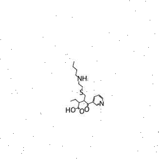 CCCCNCCSCC(C(=O)c1cccnc1)C(CC)C(=O)O